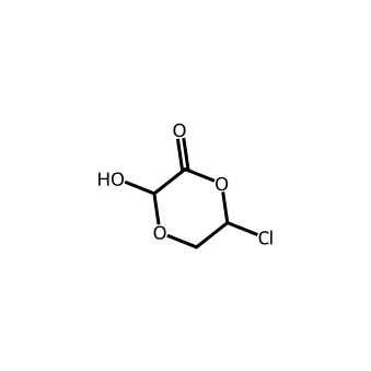 O=C1OC(Cl)COC1O